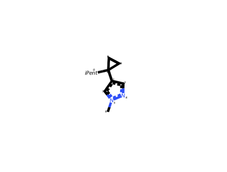 CCCC(C)C1(c2cnn(C)c2)CC1